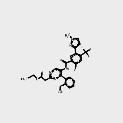 CCOC(=O)Cc1ncc(NC(=O)c2cc(-c3ccn(C)n3)c(C(F)(F)F)cc2F)c(-c2ccccc2CO)n1